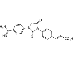 N=C(N)c1ccc(N2CC(=O)N(c3ccc(/C=C/C(=O)O)cc3)C2=O)cc1